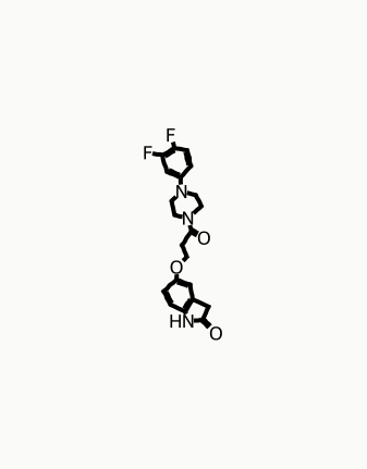 O=C1Cc2cc(OCCC(=O)N3CCN(c4ccc(F)c(F)c4)CC3)ccc2N1